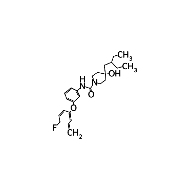 C=C/C=C(\C=C/CF)Oc1cccc(NC(=O)N2CCC(O)(CC(CC)CC)CC2)c1